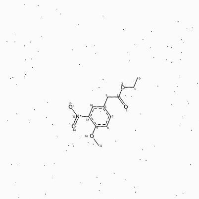 CCOC(=O)Cc1ccc(OC)c([N+](=O)[O-])c1